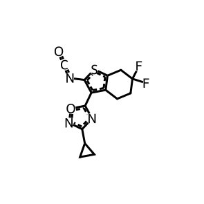 O=C=Nc1sc2c(c1-c1nc(C3CC3)no1)CCC(F)(F)C2